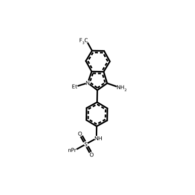 CCCS(=O)(=O)Nc1ccc(-c2c(N)c3ccc(C(F)(F)F)cc3n2CC)cc1